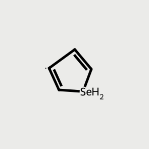 [C]1=C[SeH2]C=C1